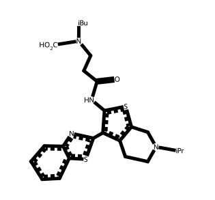 CCC(C)N(CCC(=O)Nc1sc2c(c1-c1nc3ccccc3s1)CCN(C(C)C)C2)C(=O)O